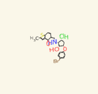 Cc1cc2c(s1)CCC(CN[C@@H]1CC[C@@H](Oc3ccc(Br)cc3)[C@@H]1O)C2=O.Cl